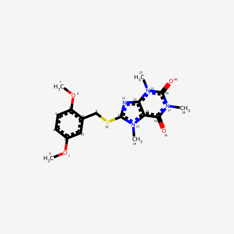 COc1ccc(OC)c(CSc2nc3c(c(=O)n(C)c(=O)n3C)n2C)c1